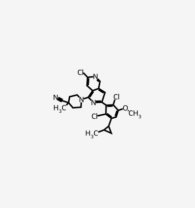 COc1cc(C2CC2C)c(Cl)c(-c2cc3cnc(Cl)cc3c(N3CCC(C)(C#N)CC3)n2)c1Cl